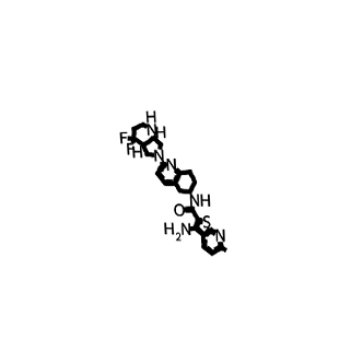 Cc1ccc2c(N)c(C(=O)N[C@H]3CCc4nc(N5C[C@H]6NCCC(F)(F)[C@H]6C5)ccc4C3)sc2n1